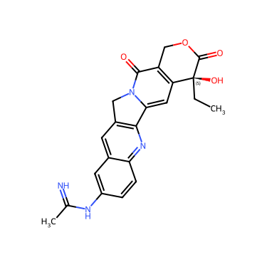 CC[C@@]1(O)C(=O)OCc2c1cc1n(c2=O)Cc2cc3cc(NC(C)=N)ccc3nc2-1